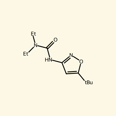 CCN(CC)C(=O)Nc1cc(C(C)(C)C)on1